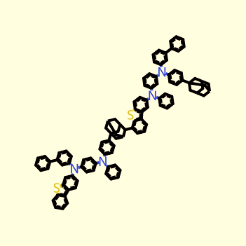 c1ccc(-c2cccc(N(c3ccc(C45CC6CC(CC(C6)C4)C5)cc3)c3cccc(N(c4ccccc4)c4ccc5sc6c(C7C8CC9CC7CC(c7ccc(N(c%10ccccc%10)c%10ccc(N(c%11cccc(-c%12ccccc%12)c%11)c%11ccc%12c(c%11)sc%11ccccc%11%12)cc%10)cc7)(C9)C8)cccc6c5c4)c3)c2)cc1